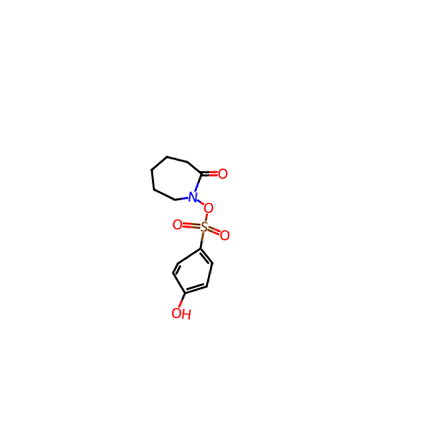 O=C1CCCCCN1OS(=O)(=O)c1ccc(O)cc1